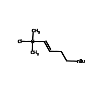 CCCCCCC=C[Si](C)(C)Cl